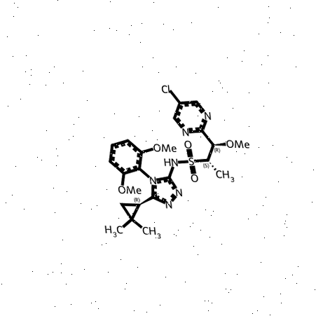 COc1cccc(OC)c1-n1c(NS(=O)(=O)[C@@H](C)[C@H](OC)c2ncc(Cl)cn2)nnc1[C@@H]1CC1(C)C